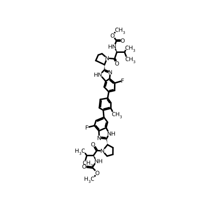 COC(=O)N[C@H](C(=O)N1CCC[C@H]1c1nc2c(F)cc(-c3ccc(-c4cc(F)c5nc([C@@H]6CCCN6C(=O)[C@@H](NC(=O)OC)C(C)C)[nH]c5c4)c(C)c3)cc2[nH]1)C(C)C